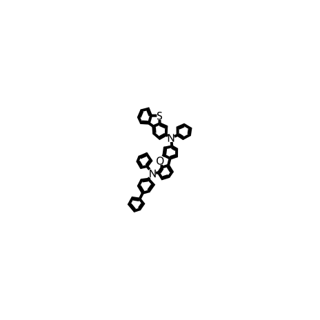 c1ccc(-c2ccc(N(c3ccccc3)c3cccc4c3oc3cc(N(c5ccccc5)c5ccc6c(c5)sc5ccccc56)ccc34)cc2)cc1